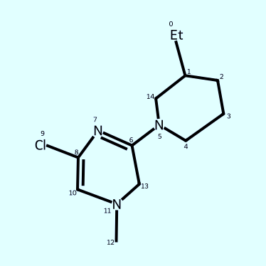 CCC1CCCN(C2=NC(Cl)=CN(C)C2)C1